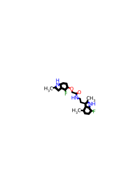 Cc1cc2c(F)c(OCC(=O)NCCc3c(C)[nH]c4c(F)ccc(C)c34)ccc2[nH]1